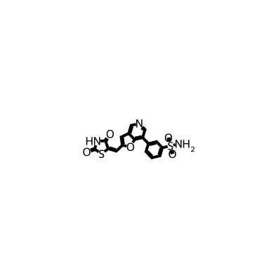 NS(=O)(=O)c1cccc(-c2cncc3cc(C=C4SC(=O)NC4=O)oc23)c1